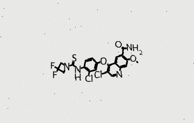 COc1cc2ncc(Cl)c(Oc3ccc(NC(=S)N4CC(F)(F)C4)c(Cl)c3)c2cc1C(N)=O